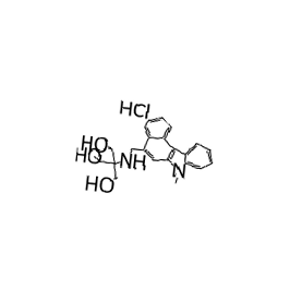 Cl.Cn1c2ccccc2c2c3ccccc3c(CNC(CO)(CO)CO)cc21